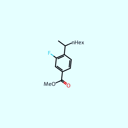 CCCCCCC(C)c1ccc(C(=O)OC)cc1F